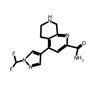 NC(=O)c1cc(-c2cnn(C(F)F)c2)c2c(n1)CNCC2